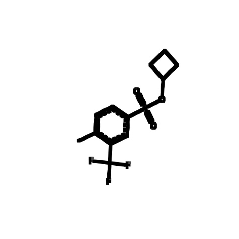 Cc1ccc(S(=O)(=O)OC2CCC2)cc1C(F)(F)F